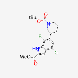 COC(=O)c1cc2c(Cl)cc(C3CCCN(C(=O)OC(C)(C)C)C3)c(F)c2[nH]1